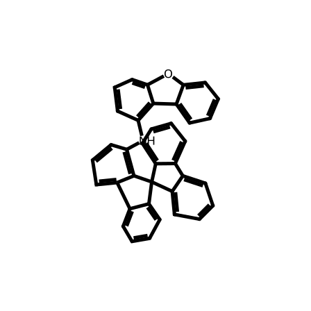 c1ccc2c(c1)-c1ccccc1C21c2ccccc2-c2cccc(Nc3cccc4oc5ccccc5c34)c21